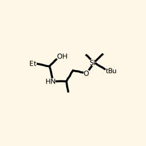 CCC(O)NC(C)CO[Si](C)(C)C(C)(C)C